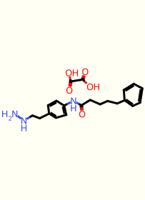 NNCCc1ccc(NC(=O)CCCCc2ccccc2)cc1.O=C(O)C(=O)O